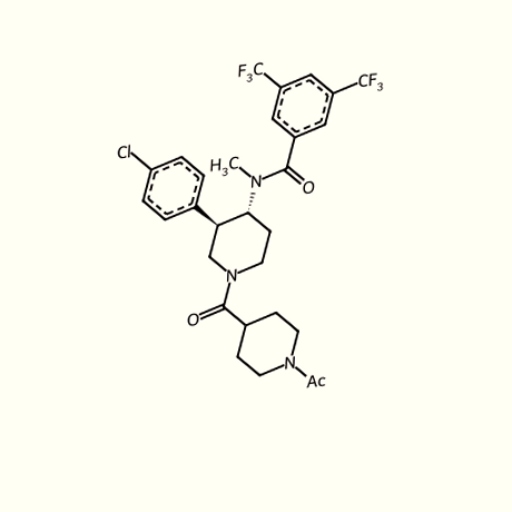 CC(=O)N1CCC(C(=O)N2CC[C@@H](N(C)C(=O)c3cc(C(F)(F)F)cc(C(F)(F)F)c3)[C@H](c3ccc(Cl)cc3)C2)CC1